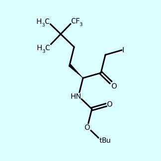 CC(C)(C)OC(=O)N[C@@H](CCC(C)(C)C(F)(F)F)C(=O)CI